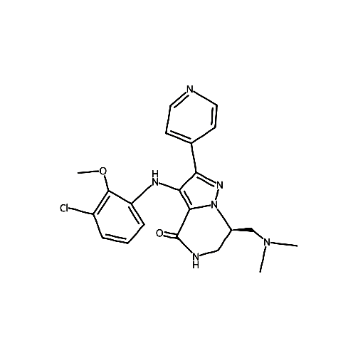 COc1c(Cl)cccc1Nc1c(-c2ccncc2)nn2c1C(=O)NC[C@@H]2CN(C)C